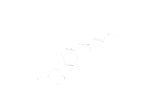 CCCCCC=CC(=O)Oc1ccc(-c2ncc(CCC)s2)cc1